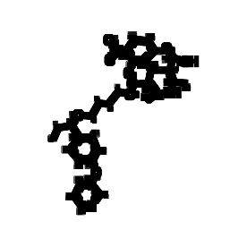 CCC(OCCCCOC(=O)C1=C(C)NC(C)=C(C(=O)O)C1c1cccc([N+](=O)[O-])c1)c1ccc(Oc2cccnc2)cc1